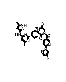 Cc1cc(Nc2cc(C)[nH]n2)nc([C@H]2CC[C@@]3(CC2)C(=O)N([C@@H](C)c2ccc(-n4cc(F)cn4)nc2)CC(=O)N3C)n1